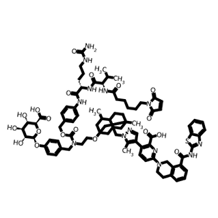 Cc1c(-c2ccc(N3CCc4cccc(C(=O)Nc5nc6ccccc6s5)c4C3)nc2C(=O)O)cnn1CC12CC3(C)CCC1C(C)CC(OCCN(Cc1ccc(O[C@@H]4O[C@H](C(=O)O)[C@@H](O)[C@H](O)[C@H]4O)cc1)C(=O)OCc1ccc(NC(=O)[C@H](CCCNC(N)=O)NC(=O)[C@@H](NC(=O)CCCCCN4C(=O)C=CC4=O)C(C)C)cc1)(C3)C2